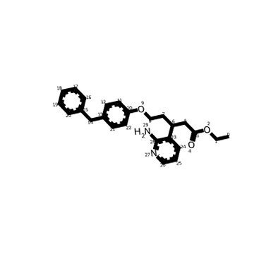 CCOC(=O)CC(CCOc1ccc(Cc2ccccc2)cc1)c1cccnc1N